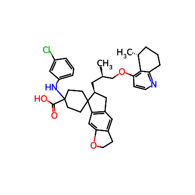 C[C@@H](COc1ccnc2c1[C@H](C)CCC2)C[C@H]1Cc2cc3c(cc2C12CCC(Nc1cccc(Cl)c1)(C(=O)O)CC2)OCC3